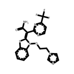 NC(=O)C(=C1Sc2ccccc2N1OCCn1ccnc1)c1nccc(C(F)(F)F)n1